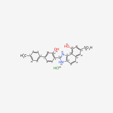 Cc1ccc(-c2ccc(-c3nc4c(ccc5cc(S(=O)(=O)O)cc(O)c54)[nH]3)c(O)c2)cc1.Cl